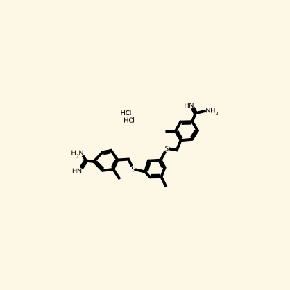 Cc1cc(SCc2ccc(C(=N)N)cc2C)cc(SCc2ccc(C(=N)N)cc2C)c1.Cl.Cl